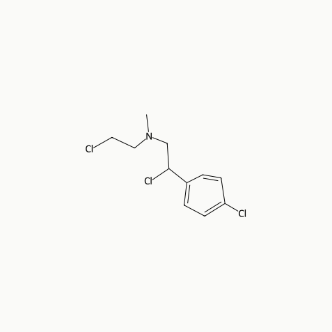 CN(CCCl)CC(Cl)c1ccc(Cl)cc1